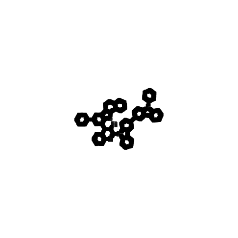 CCC1C(n2c3ccccc3c3cc(-c4ccc5c(c4)c4ccccc4n5-c4ccccc4)ccc32)=Nc2ccccc2C1c1cc(-c2ccccc2)cc2c1sc1c3ccccc3ccc21